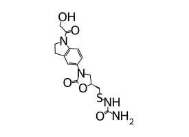 NC(=O)NSC[C@@H]1CN(c2ccc3c(c2)CCN3C(=O)CO)C(=O)O1